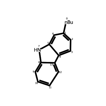 CCCCc1ccc2c(c1)[nH]c1ccccc12